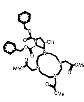 COC(=O)CN1CCN(CC(=O)OC)CCN([C@H]2[C@@H](C(=O)OCc3ccccc3)N(C(=O)OCc3ccccc3)C[C@@H]2O)CCN(CC(=O)OC)CC1